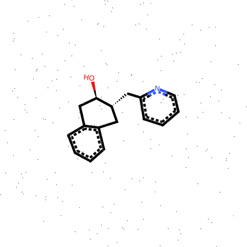 O[C@@H]1Cc2ccccc2C[C@H]1Cc1ccccn1